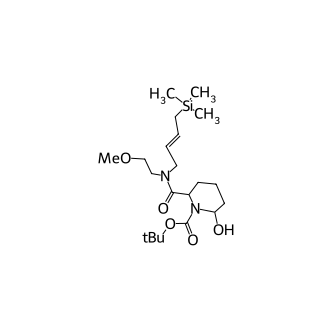 COCCN(C/C=C/C[Si](C)(C)C)C(=O)C1CCCC(O)N1C(=O)OC(C)(C)C